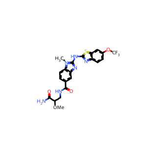 COC(CNC(=O)c1ccc2c(c1)nc(Nc1nc3ccc(OC(F)(F)F)cc3s1)n2C)C(N)=O